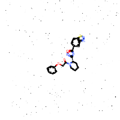 O=C(COc1ccccc1)N1CCCC[C@@H]1c1noc(-c2ccc3snnc3c2)n1